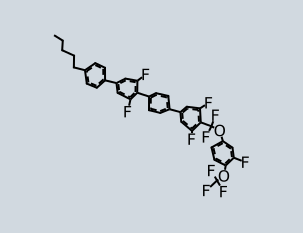 CCCCCc1ccc(-c2cc(F)c(-c3ccc(-c4cc(F)c(C(F)(F)Oc5ccc(OC(F)(F)F)c(F)c5)c(F)c4)cc3)c(F)c2)cc1